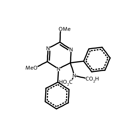 COC1=NC(c2ccccc2)(N(C(=O)O)C(=O)O)N(c2ccccc2)C(OC)=N1